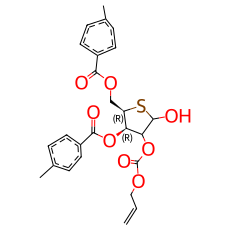 C=CCOC(=O)OC1C(O)S[C@H](COC(=O)c2ccc(C)cc2)[C@@H]1OC(=O)c1ccc(C)cc1